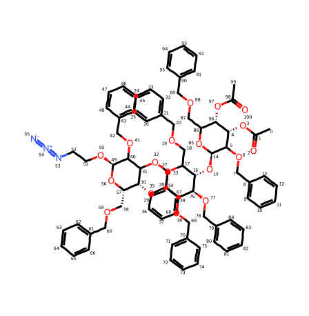 CC(=O)O[C@@H]1C(OCc2ccccc2)[C@@H](O[C@H]2C(COCc3ccccc3)O[C@@H](O[C@H]3C(OCc4ccccc4)C(OCc4ccccc4)[C@H](OCCN=[N+]=[N-])O[C@H]3COCc3ccccc3)C(OCc3ccccc3)[C@@H]2OCc2ccccc2)OC(COCc2ccccc2)[C@@H]1OC(C)=O